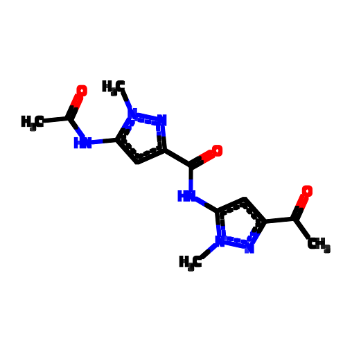 CC(=O)Nc1cc(C(=O)Nc2cc(C(C)=O)nn2C)nn1C